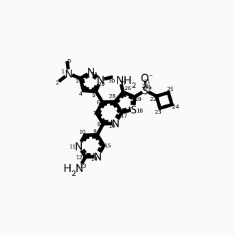 CN(C)c1cc(-c2cc(-c3cnc(N)nc3)nc3sc([S@+]([O-])C4CCC4)c(N)c23)n(C)n1